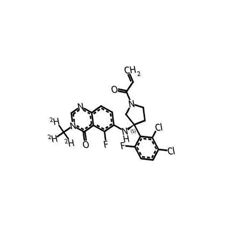 [2H]C([2H])([2H])n1cnc2ccc(N[C@]3(c4c(F)ccc(Cl)c4Cl)CCN(C(=O)C=C)C3)c(F)c2c1=O